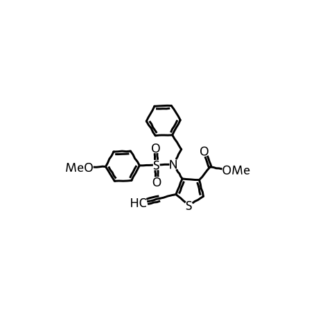 C#Cc1scc(C(=O)OC)c1N(Cc1ccccc1)S(=O)(=O)c1ccc(OC)cc1